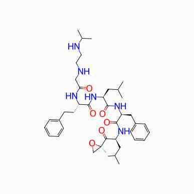 CC(C)C[C@H](NC(=O)[C@H](CCc1ccccc1)NC(=O)CNCCNC(C)C)C(=O)N[C@@H](Cc1ccccc1)C(=O)N[C@@H](CC(C)C)C(=O)[C@@]1(C)CO1